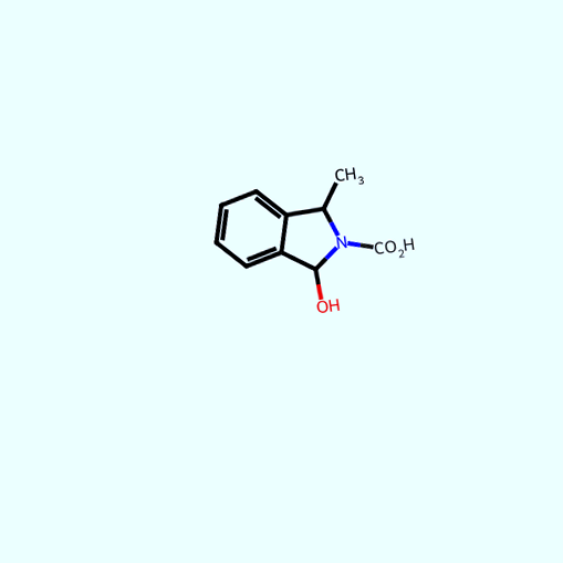 CC1c2ccccc2C(O)N1C(=O)O